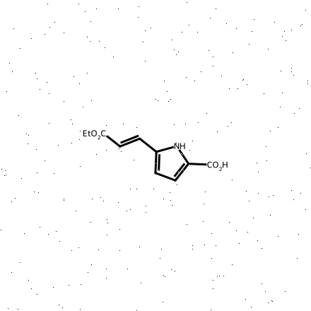 CCOC(=O)/C=C/c1ccc(C(=O)O)[nH]1